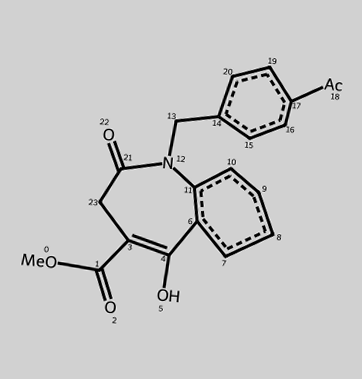 COC(=O)C1=C(O)c2ccccc2N(Cc2ccc(C(C)=O)cc2)C(=O)C1